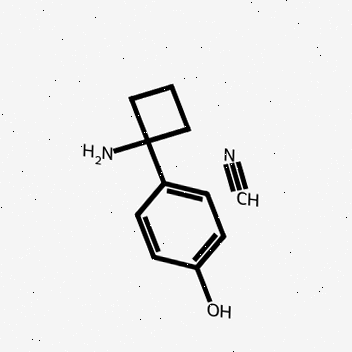 C#N.NC1(c2ccc(O)cc2)CCC1